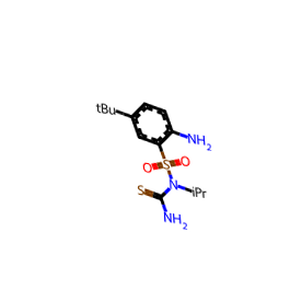 CC(C)N(C(N)=S)S(=O)(=O)c1cc(C(C)(C)C)ccc1N